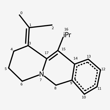 CC(C)=C1CCCN2Cc3ccccc3C(C(C)C)=C12